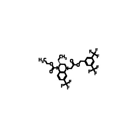 CCOC(=O)N1c2ccc(C(F)(F)F)cc2N(CC(=O)OCc2cc(C(F)(F)F)cc(C(F)(F)F)c2)C[C@H]1CC